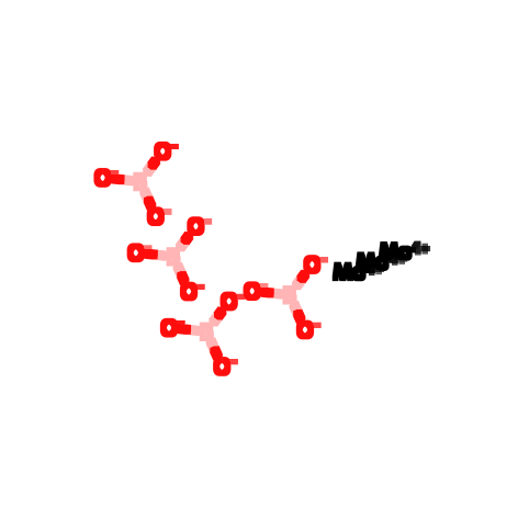 [Mo+4].[Mo+4].[Mo+4].[O-]B([O-])[O-].[O-]B([O-])[O-].[O-]B([O-])[O-].[O-]B([O-])[O-]